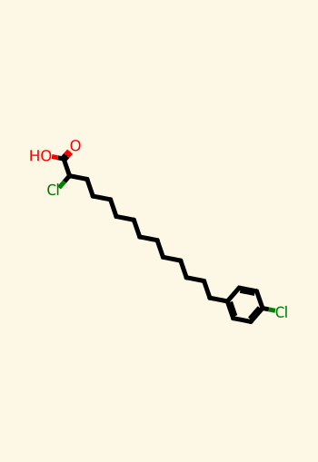 O=C(O)C(Cl)CCCCCCCCCCCCc1ccc(Cl)cc1